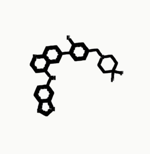 Fc1cc(CN2CCC(F)(F)CC2)ccc1-c1ccc2nccc(Nc3ccc4scnc4c3)c2c1